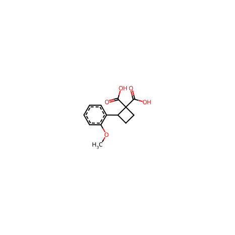 COc1ccccc1C1CCC1(C(=O)O)C(=O)O